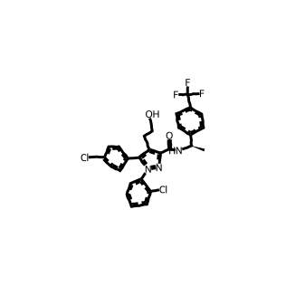 C[C@@H](NC(=O)c1nn(-c2ccccc2Cl)c(-c2ccc(Cl)cc2)c1CCO)c1ccc(C(F)(F)F)cc1